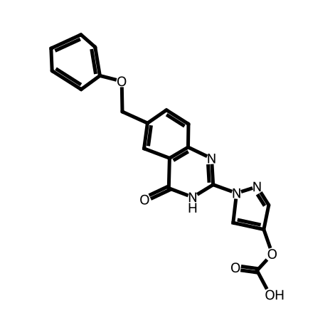 O=C(O)Oc1cnn(-c2nc3ccc(COc4ccccc4)cc3c(=O)[nH]2)c1